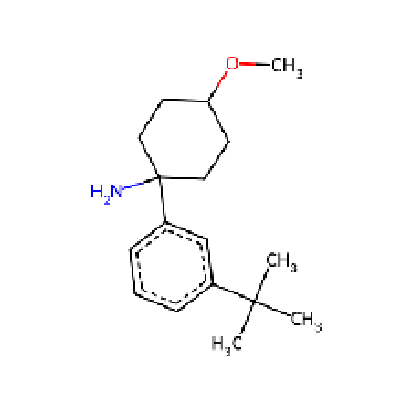 COC1CCC(N)(c2cccc(C(C)(C)C)c2)CC1